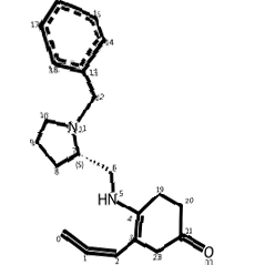 C=C=CC1=C(NC[C@@H]2CCCN2Cc2ccccc2)CCC(=O)C1